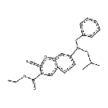 CCOC(=O)c1cc2ccc(N(Cc3ccccc3)CC(C)C)cc2oc1=O